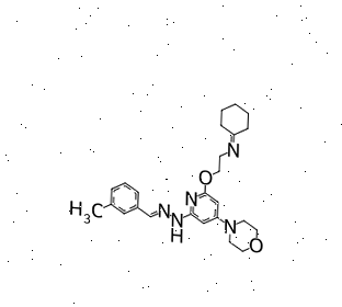 Cc1cccc(/C=N/Nc2cc(N3CCOCC3)cc(OCCN=C3CCCCC3)n2)c1